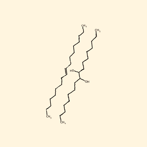 CCCCCCCCC(O)C(O)CCCCCCCC.CCCCCCCCC=CCCCCCCCC